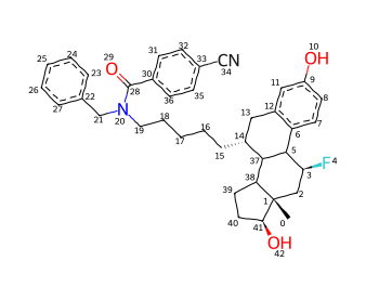 C[C@]12C[C@H](F)C3c4ccc(O)cc4C[C@@H](CCCCCN(Cc4ccccc4)C(=O)c4ccc(C#N)cc4)C3C1CC[C@@H]2O